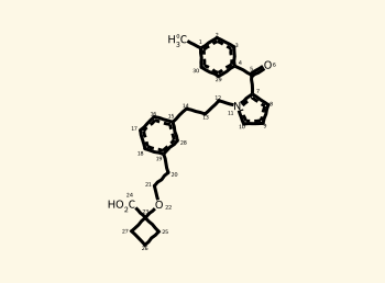 Cc1ccc(C(=O)c2cccn2CCCc2cccc(CCOC3(C(=O)O)CCC3)c2)cc1